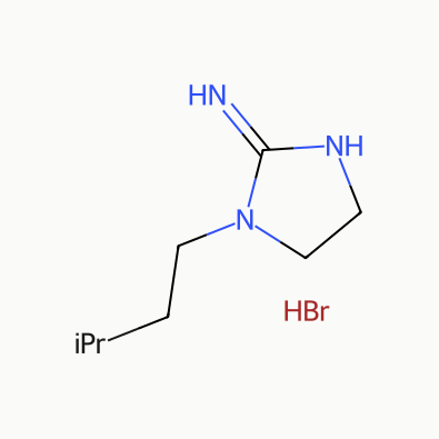 Br.CC(C)CCN1CCNC1=N